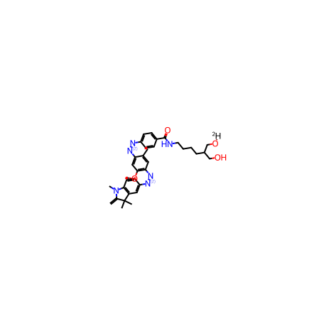 [2H]OCC(CO)CCCCNC(=O)c1ccc(/N=N\c2cc(OC)c(/N=N\c3ccc4c(c3)C(C)(C)C(=C)N4C)cc2C)cc1